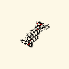 c1ccc(-c2ccc(-c3c4cccc(-c5ccc(-n6c7ccccc7c7ccccc76)cc5)c4c(-c4ccc(-c5ccccc5)cc4)c4cccc(-c5ccc(-n6c7ccccc7c7ccccc76)cc5)c34)cc2)cc1